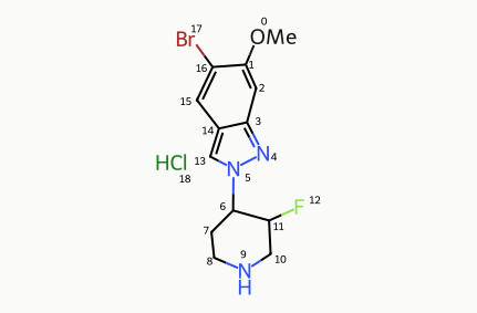 COc1cc2nn(C3CCNCC3F)cc2cc1Br.Cl